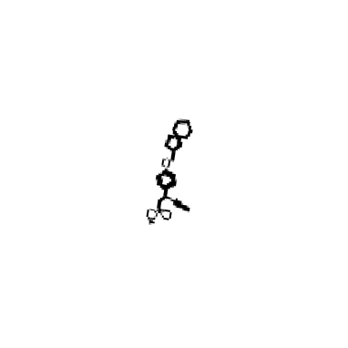 CC#C[C@@H](CC(=O)OC)c1ccc(OCC2CCC3(CCCCC3)C2)cc1